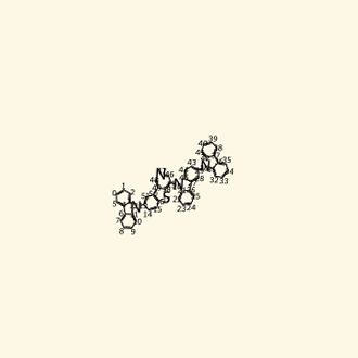 c1ccc2c(c1)c1ccccc1n2-c1ccc2sc3c(-n4c5ccccc5c5cc(-n6c7ccccc7c7ccccc76)ccc54)cncc3c2c1